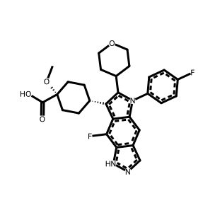 CO[C@]1(C(=O)O)CC[C@H](c2c(C3CCOCC3)n(-c3ccc(F)cc3)c3cc4cn[nH]c4c(F)c32)CC1